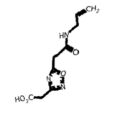 C=CCNC(=O)Cc1nc(CC(=O)O)no1